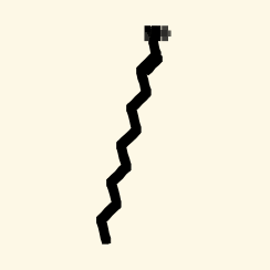 CCCCCCCCCC=C[NH]